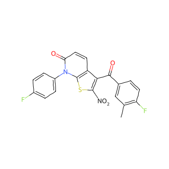 Cc1cc(C(=O)c2c([N+](=O)[O-])sc3c2ccc(=O)n3-c2ccc(F)cc2)ccc1F